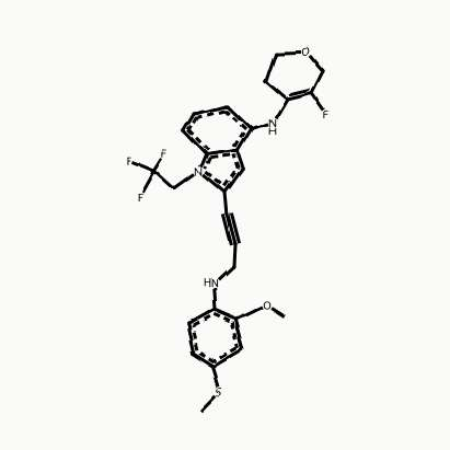 COc1cc(SC)ccc1NCC#Cc1cc2c(NC3=C(F)COCC3)cccc2n1CC(F)(F)F